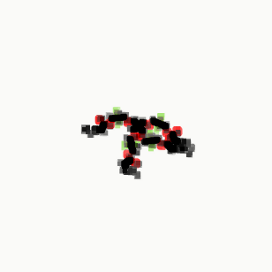 C=CC(=O)OCC(F)(F)COCC(COCC(F)(F)COC(=O)C=C)(COCC(F)(F)COC(=O)C=C)COCC(F)(F)COC(=O)C=C